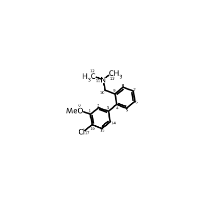 COc1cc(-c2ccccc2CN(C)C)ccc1Cl